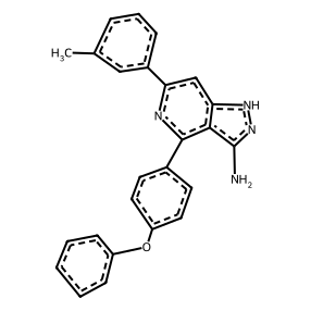 Cc1cccc(-c2cc3[nH]nc(N)c3c(-c3ccc(Oc4ccccc4)cc3)n2)c1